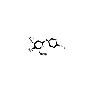 C=C1[C@H](OO)CC(O[C@H]2CCC(C)OC2)O[C@@H]1CO